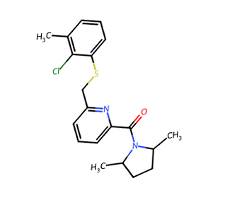 Cc1cccc(SCc2cccc(C(=O)N3C(C)CCC3C)n2)c1Cl